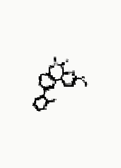 COc1ccc2c(n1)C(=O)N(C)Cc1ccc(-c3cccnc3C)cc1-2